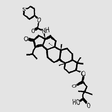 CC(C)C1=C2C3CCC4[C@@]5(C)CC[C@H](OC(=O)CC(C)(C)C(=O)O)C(C)(C)C5CC[C@@]4(C)[C@]3(C)CC[C@@]2(NC(=O)OC2CCSCC2)CC1=O